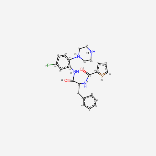 O=C(NC(Cc1ccccc1)C(=O)Nc1cc(F)ccc1N1CCNCC1)c1cccs1